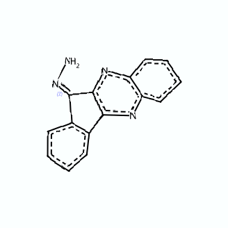 N/N=C1/c2ccccc2-c2nc3ccccc3nc21